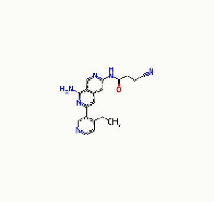 CCc1ccncc1-c1cc2cc(NC(=O)CCC#N)ncc2c(N)n1